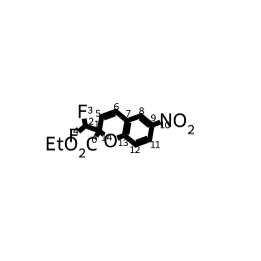 CCOC(=O)C1(C(F)F)C=Cc2cc([N+](=O)[O-])ccc2O1